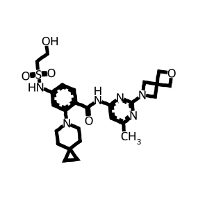 Cc1cc(NC(=O)c2ccc(NS(=O)(=O)CCO)cc2N2CCC3(CC2)CC3)nc(N2CC3(COC3)C2)n1